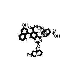 COc1c(C(N)=O)c(-c2cc(O)cc3cccc(F)c23)c(F)c2nc(OC[C@@]34CCCN3C[C@H](F)C4)nc(N3CC4CC[C@@H](C3)N4)c12.O=CO